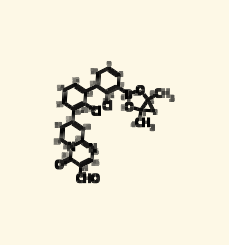 CC12CC1(C)OB(c1cccc(-c3cccc(-c4ccn5c(=O)c(C=O)cnc5c4)c3Cl)c1Cl)O2